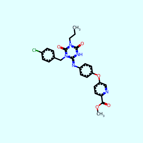 CCCn1c(=O)[nH]/c(=N\c2ccc(Oc3ccc(C(=O)OC)nc3)cc2)n(Cc2ccc(Cl)cc2)c1=O